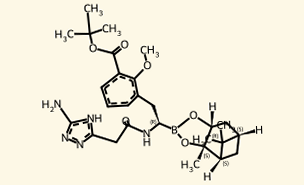 COc1c(C[C@H](NC(=O)Cc2nnc(N)[nH]2)B2O[C@@H]3C[C@@H]4C[C@@H](C4(C)C)[C@]3(C)O2)cccc1C(=O)OC(C)(C)C